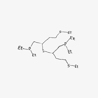 CCSCCC(CP(CC)CC)SC(CCSCC)CP(CC)CC